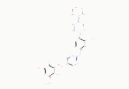 COc1cc(Nc2ncc(OCc3c(F)c(OC)cc(OC)c3F)cn2)ccc1N1CCC(N2CCOCC2)CC1